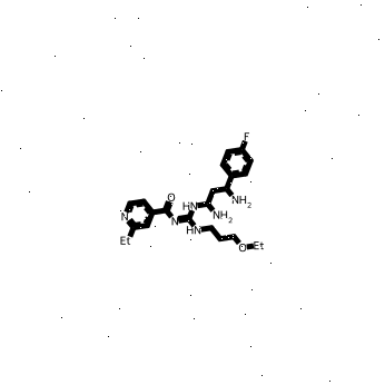 CCOCCCN/C(=N/C(=O)c1ccnc(CC)c1)NC(N)CC(N)c1ccc(F)cc1